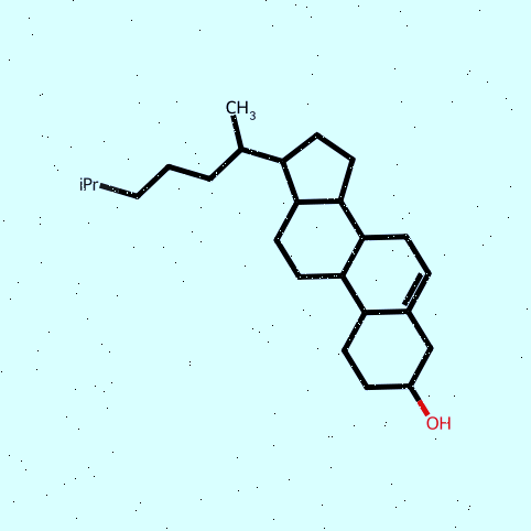 CC(C)CCCC(C)C1CCC2C1CCC1C3CCC(O)CC3=CCC12